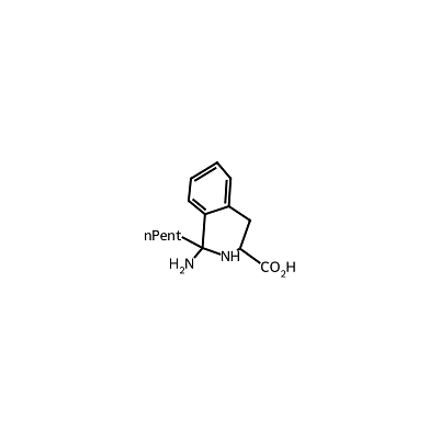 CCCCCC1(N)NC(C(=O)O)Cc2ccccc21